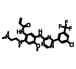 C=CC(=O)Nc1cc(Nc2ncnc(-c3cc(Cl)cc(C(F)(F)F)c3)n2)c(OC)cc1N(C)CCN(C)C